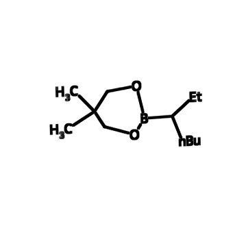 CCCCC(CC)B1OCC(C)(C)CO1